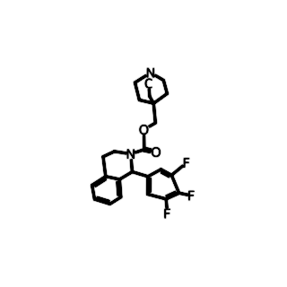 O=C(OCC12CCN(CC1)CC2)N1CCc2ccccc2C1c1cc(F)c(F)c(F)c1